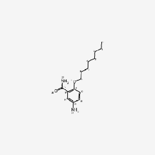 CCCCCCCCOc1ccc(N)cc1C(N)=O